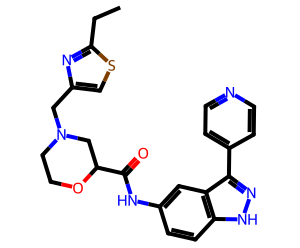 CCc1nc(CN2CCOC(C(=O)Nc3ccc4[nH]nc(-c5ccncc5)c4c3)C2)cs1